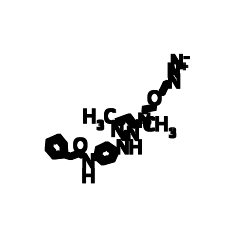 Cc1cc(N(C)CCOCCN=[N+]=[N-])nc(Nc2ccc(NC(=O)Cc3ccccc3)cc2)n1